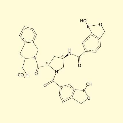 O=C(O)CC1Cc2ccccc2CN1C(=O)[C@@H]1C[C@@H](NC(=O)c2ccc3c(c2)B(O)OC3)CN1C(=O)c1ccc2c(c1)B(O)OC2